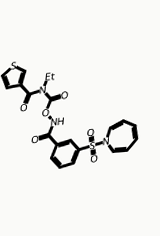 CCN(C(=O)ONC(=O)c1cccc(S(=O)(=O)N2C=CC=CC=C2)c1)C(=O)c1ccsc1